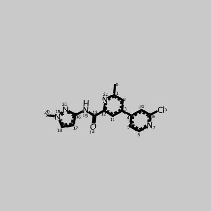 Cc1cc(-c2ccnc(Cl)c2)cc(C(=O)Nc2ccn(C)n2)n1